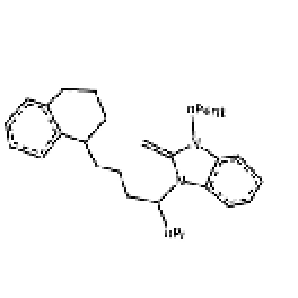 C=C1N(CCCCC)c2ccccc2N1C(CCC)CCCC1CCCc2ccccc21